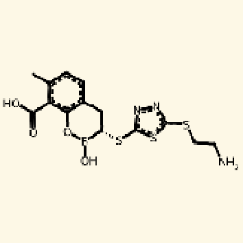 Cc1ccc2c(c1C(=O)O)OB(O)[C@@H](Sc1nnc(SCCN)s1)C2